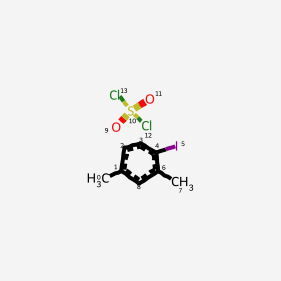 Cc1ccc(I)c(C)c1.O=S(=O)(Cl)Cl